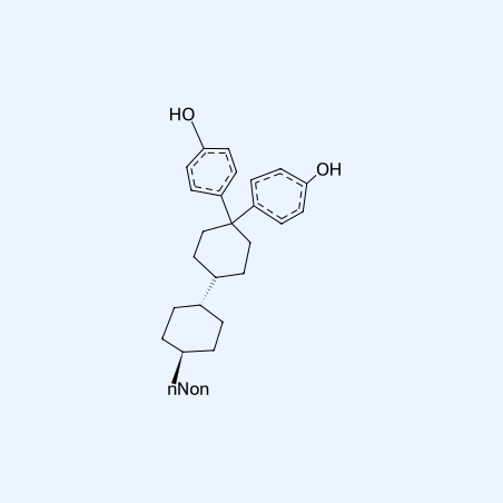 CCCCCCCCC[C@H]1CC[C@H](C2CCC(c3ccc(O)cc3)(c3ccc(O)cc3)CC2)CC1